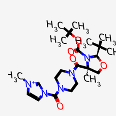 C[n+]1ccn(C(=O)N2CCN(C(=O)[C@]3(C)CO[C@H](C(C)(C)C)N3C(=O)OC(C)(C)C)CC2)c1